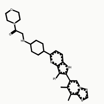 Cc1c(-c2[nH]c3ccc(C4CCC(NCC(=O)N5CCOCC5)CC4)nc3c2C(C)C)cn2ncnc2c1C